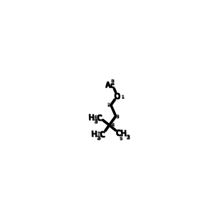 [CH2]C(=O)OCCC(C)(C)C